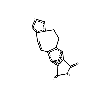 O=C1NC(=O)c2c1c1sc2c2c1C=Cc1cscc1CC2